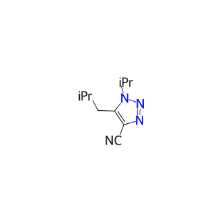 CC(C)Cc1c(C#N)nnn1C(C)C